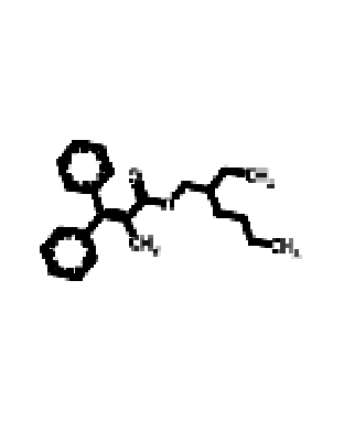 CCCCC(CC)COC(=O)C(C)=C(c1ccccc1)c1ccccc1